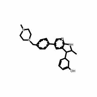 CC1Nc2ncc(-c3ccc(CN4CCN(C)CC4)cc3)cc2C1C1C=CC=C(O)C1